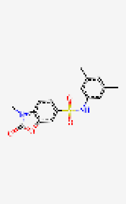 Cc1cc(C)cc(NS(=O)(=O)c2ccc3c(c2)oc(=O)n3C)c1